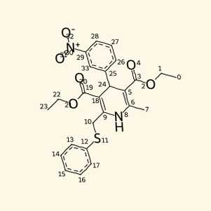 CCOC(=O)C1=C(C)NC(CSc2ccccc2)=C(C(=O)OCC)C1c1cccc([N+](=O)[O-])c1